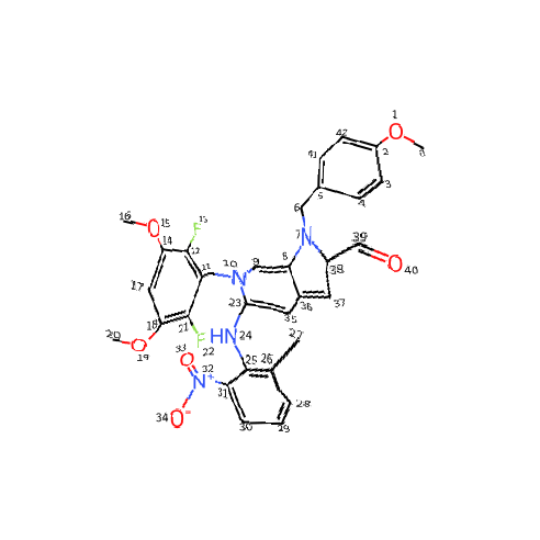 COc1ccc(CN2C3=CN(c4c(F)c(OC)cc(OC)c4F)C(Nc4c(C)cccc4[N+](=O)[O-])=CC3=CC2C=O)cc1